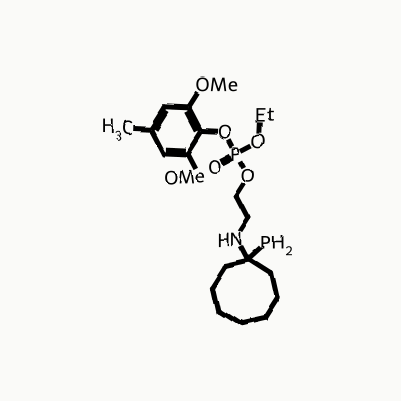 CCOP(=O)(OCCNC1(P)CCCCCCC1)Oc1c(OC)cc(C)cc1OC